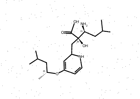 CC(C)C[C@@H](C)OC1=CC(C[C@](O)(C(=O)O)[C@@H](N)CC(C)C)NC=C1